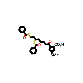 CSC1=CC(C(=O)O)=C(C(=O)CCCCC(CCSC(=O)c2ccccc2)SC(=O)c2ccccc2)C1